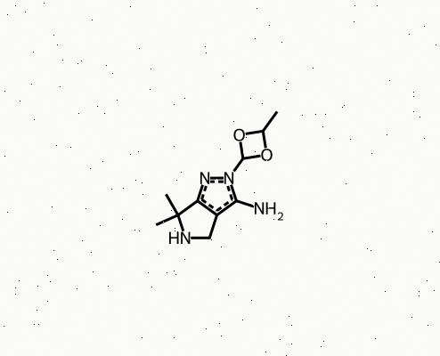 CC1OC(n2nc3c(c2N)CNC3(C)C)O1